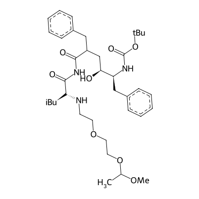 CC[C@H](C)[C@@H](NCCOCCOC(C)OC)C(=O)NC(=O)C(Cc1ccccc1)C[C@H](O)[C@H](Cc1ccccc1)NC(=O)OC(C)(C)C